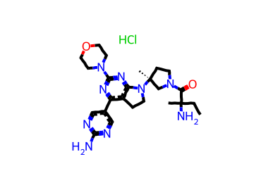 CCC(C)(N)C(=O)N1CC[C@](C)(N2CCc3c(-c4cnc(N)nc4)nc(N4CCOCC4)nc32)C1.Cl